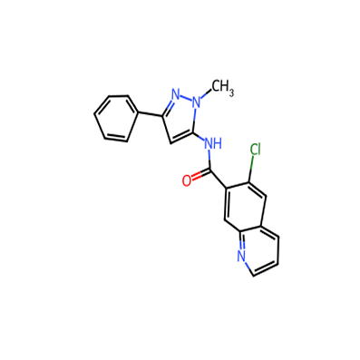 Cn1nc(-c2ccccc2)cc1NC(=O)c1cc2ncccc2cc1Cl